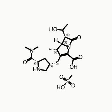 CC(O)[C@H]1C(=O)N2C(C(=O)O)=C(S[C@@H]3CN[C@H](C(=O)N(C)C)C3)[C@H](C)[C@H]12.CS(=O)(=O)O